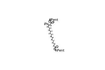 CCCCCOC(=O)CCCCCCCCCCCCCC(CC(=O)OCCCCC)C(C)C